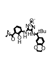 CN(C)C(=O)c1cccc(Nc2n[s+]([O-])nc2NC(c2ccc3c(c2)OCCO3)C(C)(C)C)c1O